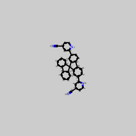 N#Cc1ccnc(-c2ccc3c(c2)C2(c4ccccc4-c4ccccc42)c2cc(-c4cc(C#N)ccn4)ccc2-3)c1